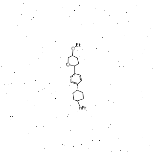 CCCC1CCC(c2ccc(C3CCC(OCC)CO3)cc2)CC1